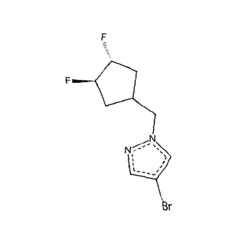 F[C@@H]1CC(Cn2cc(Br)cn2)C[C@H]1F